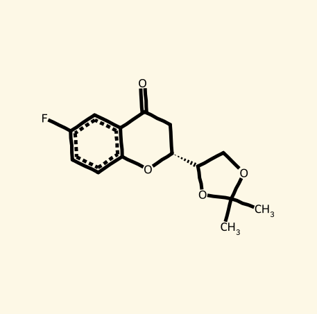 CC1(C)OCC([C@H]2CC(=O)c3cc(F)ccc3O2)O1